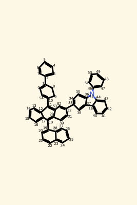 C1=C(c2ccccc2)CCC(c2c3ccccc3c(-c3cccc4ccccc34)c3ccc(-c4ccc5c(c4)c4ccccc4n5-c4ccccc4)cc23)=C1